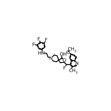 COc1ccc2ncc(C)c(C(F)CCC3(C(=O)O)CCN(CCNc4cc(F)c(F)c(F)c4)CC3)c2c1